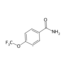 NC(=O)c1c[c]c(OC(F)(F)F)cc1